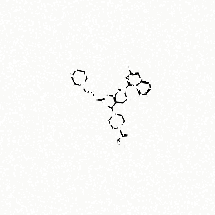 C=CC(=O)N1CCN(c2nc(OCCN3CCC[C@@H](F)C3)nc3c2CCN(c2cc(O)cc4ccccc24)C3)CC1